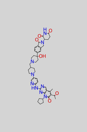 CC(=O)c1c(C)c2cnc(Nc3ccc(N4CCC(CN5CCC(O)(c6ccc7c(c6)CN(C6CCC(=O)NC6=O)C7=O)CC5)CC4)cn3)nc2n(C2CCCC2)c1=O